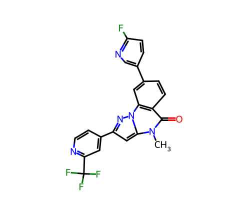 Cn1c(=O)c2ccc(-c3ccc(F)nc3)cc2n2nc(-c3ccnc(C(F)(F)F)c3)cc12